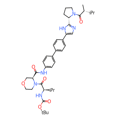 CC(C)[C@@H](C)C(=O)N1CCC[C@H]1c1ncc(-c2ccc(-c3ccc(NC(=O)[C@@H]4COCCN4C(=O)[C@H](NC(=O)OC(C)(C)C)C(C)C)cc3)cc2)[nH]1